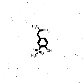 C[C@@H](N)Cc1ccc(O)c(S(N)(=O)=O)c1